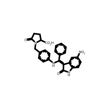 O=C1Nc2ccc([N+](=O)[O-])cc2/C1=C(/Nc1ccc(CN2C(=O)CCC2C(=O)O)cc1)c1ccccc1